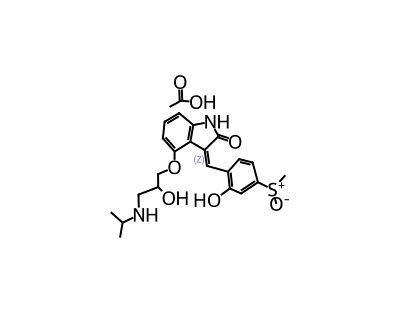 CC(=O)O.CC(C)NCC(O)COc1cccc2c1/C(=C/c1ccc([S+](C)[O-])cc1O)C(=O)N2